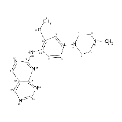 COc1cc(N2CCN(C)CC2)ccc1Nc1ncc2cncnc2n1